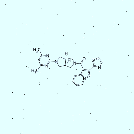 Cc1cc(C)nc(N2C[C@H]3CN(C(=O)c4c(-c5nccs5)cn5ccccc45)C[C@H]3C2)n1